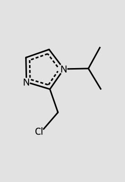 CC(C)n1ccnc1CCl